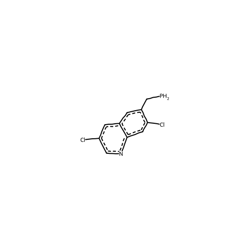 PCc1cc2cc(Cl)cnc2cc1Cl